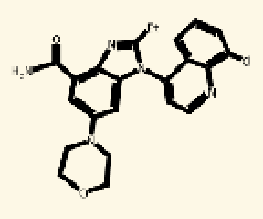 CCc1nc2c(C(N)=O)cc(N3CCOCC3)cc2n1-c1ccnc2c(Cl)cccc12